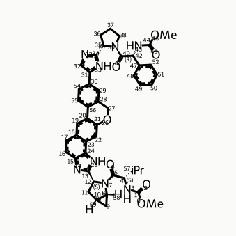 COC(=O)N[C@H](C(=O)N1[C@@H]2C[C@@H]2C[C@H]1c1nc2ccc3cc4c(cc3c2[nH]1)OCc1cc(-c2cnc([C@@H]3CCCN3C(=O)[C@H](NC(=O)OC)c3ccccc3)[nH]2)ccc1-4)C(C)C